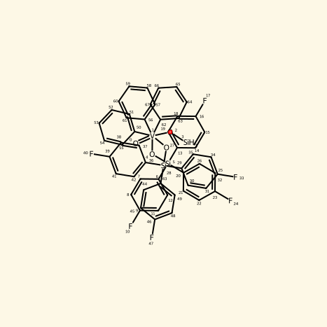 [O]=[V]([O][SiH3])([O][Si](c1ccc(F)cc1)(c1ccc(F)cc1)c1ccc(F)cc1)([O][Si](c1ccc(F)cc1)(c1ccc(F)cc1)c1ccc(F)cc1)([c]1ccccc1)([c]1ccccc1)[c]1ccccc1